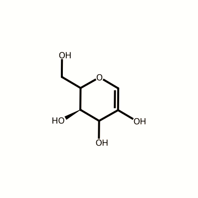 OCC1OC=C(O)C(O)[C@H]1O